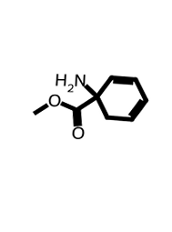 COC(=O)C1(N)C=CC=CC1